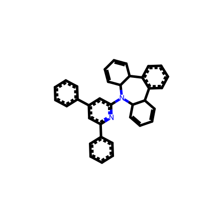 C1=CC2c3ccccc3C3C=CC=CC3N(c3cc(-c4ccccc4)cc(-c4ccccc4)n3)C2C=C1